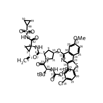 C=C[C@@H]1C[C@]1(NC(=O)[C@@H]1C[C@@H](Oc2nc3c4cc(Cl)ccc4sc3c3ccc(OC)cc23)CN1C(=O)[C@@H](NC(=O)OC(C)(C)C)C(C)(C)C)C(=O)NS(=O)(=O)C1CC1